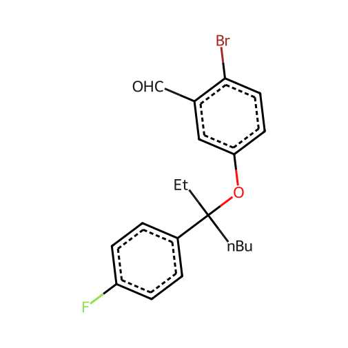 CCCCC(CC)(Oc1ccc(Br)c(C=O)c1)c1ccc(F)cc1